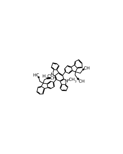 C#CCC1(CC#C)c2ccccc2-c2ccc(-c3c4c5ccccc5n(C)c4c(-c4ccc5c(c4)C(CC#C)(CC#C)c4ccccc4-5)c4c5ccccc5n(C)c34)cc21